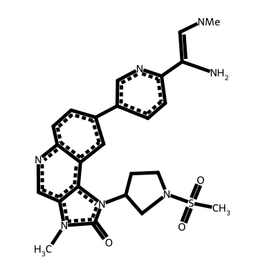 CN/C=C(\N)c1ccc(-c2ccc3ncc4c(c3c2)n(C2CCN(S(C)(=O)=O)C2)c(=O)n4C)cn1